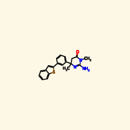 CN1C(=O)CC(C)(c2cccc(-c3cc4ccccc4s3)c2)N=C1N